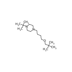 CC(C)(C)COCCCCN1CCN(C(C)(C)C)CC1